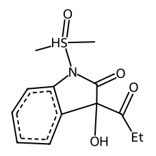 CCC(=O)C1(O)C(=O)N([SH](C)(C)=O)c2ccccc21